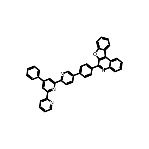 c1ccc(-c2cc(-c3ccccn3)nc(-c3ccc(-c4ccc(-c5nc6ccccc6c6c5oc5ccccc56)cc4)cn3)c2)cc1